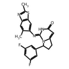 Cc1nc2cc(C)c(/N=c3\[nH]c(=O)cc4n3C(c3cc(F)cc(F)c3)CC4)cc2s1